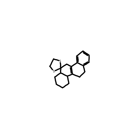 c1ccc2c(c1)CCC1=C2CC2(SCCS2)C2CCCCC12